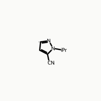 CC(C)n1n[c]cc1C#N